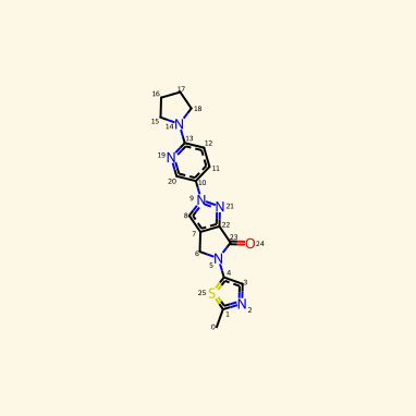 Cc1ncc(N2Cc3cn(-c4ccc(N5CCCC5)nc4)nc3C2=O)s1